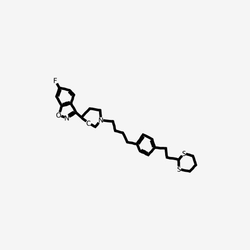 Fc1ccc2c(C3CCN(CCCCc4ccc(CCC5SCCCS5)cc4)CC3)noc2c1